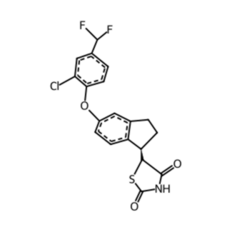 O=C1NC(=O)C([C@@H]2CCc3cc(Oc4ccc(C(F)F)cc4Cl)ccc32)S1